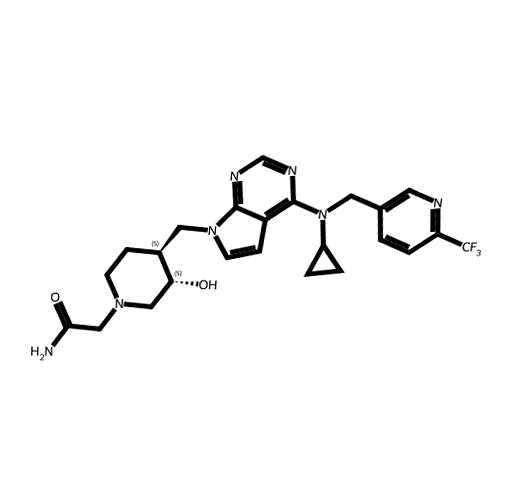 NC(=O)CN1CC[C@@H](Cn2ccc3c(N(Cc4ccc(C(F)(F)F)nc4)C4CC4)ncnc32)[C@H](O)C1